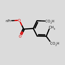 CCCOC(=O)C(C=C(C)C(=O)O)=CC(=O)O